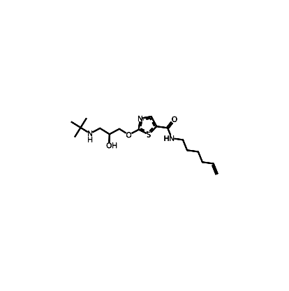 C=CCCCCNC(=O)c1cnc(OCC(O)CNC(C)(C)C)s1